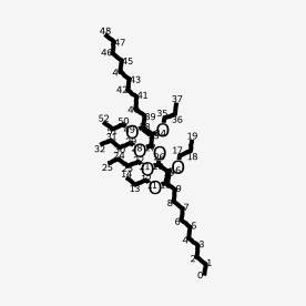 CCCCCCCCCCC(OCCC)=C(OCCC)C(OCCCC)OC(OCCCC)C(OCCC)=C(CCCCCCCCCC)OCCC